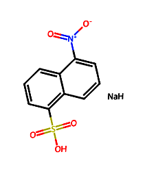 O=[N+]([O-])c1cccc2c(S(=O)(=O)O)cccc12.[NaH]